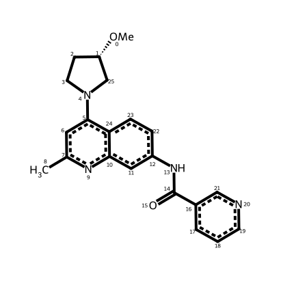 CO[C@H]1CCN(c2cc(C)nc3cc(NC(=O)c4cccnc4)ccc23)C1